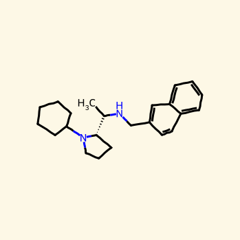 CC(NCc1ccc2ccccc2c1)[C@@H]1CCCN1C1CCCCC1